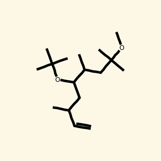 C=CC(C)CC(OC(C)(C)C)C(C)CC(C)(C)OC